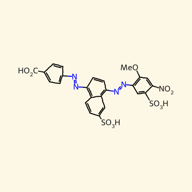 COc1cc([N+](=O)[O-])c(S(=O)(=O)O)cc1N=Nc1ccc(N=Nc2ccc(C(=O)O)cc2)c2ccc(S(=O)(=O)O)cc12